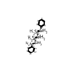 c1ccc([SiH2][SiH2][SiH2][SiH2][SiH2][SiH2]c2ccccc2)cc1